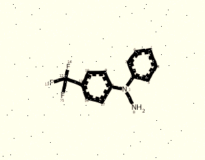 NN(c1[c]cccc1)c1ccc(C(F)(F)F)cc1